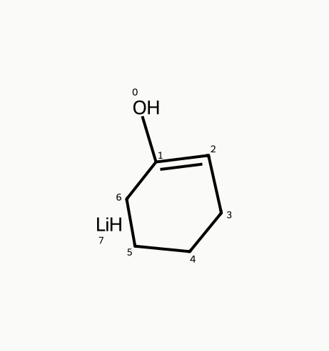 OC1=CCCCC1.[LiH]